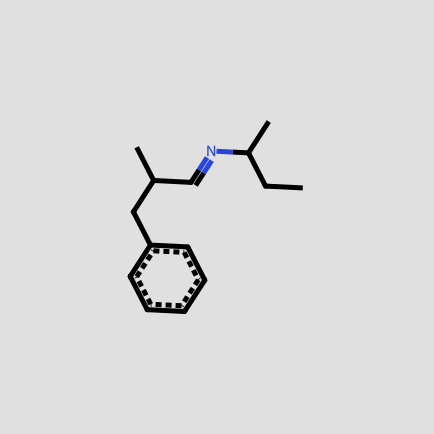 CCC(C)N=CC(C)Cc1ccccc1